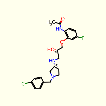 CC(=O)Nc1ccc(F)cc1OC[C@H](O)CN[C@@H]1CCN(Cc2ccc(Cl)cc2)C1